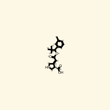 Cc1cccc(C(OC(=O)C=C2CNC[C@@H]2C(=O)O)C(C)(C)C)c1